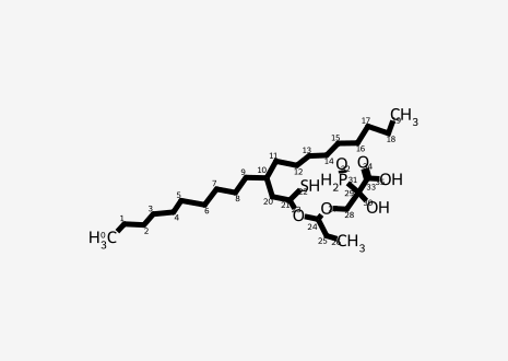 CCCCCCCCCCC(CCCCCCCCC)CC(S)OC(CC)OCC(O)([PH2]=O)C(=O)O